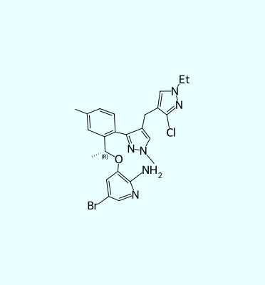 CCn1cc(Cc2cn(C)nc2-c2ccc(C)cc2[C@@H](C)Oc2cc(Br)cnc2N)c(Cl)n1